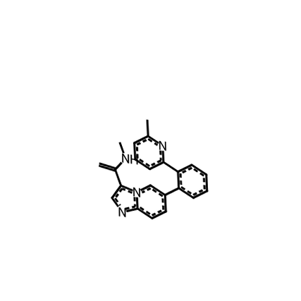 C=C(NC)c1cnc2ccc(-c3ccccc3-c3cccc(C)n3)cn12